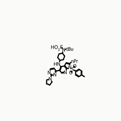 CCCc1cc2c(NC3CCC(N(C(=O)O)C(C)(C)C)CC3)c(-c3ccnc(N4CCCC4)n3)cnc2n1S(=O)(=O)c1ccc(C)cc1